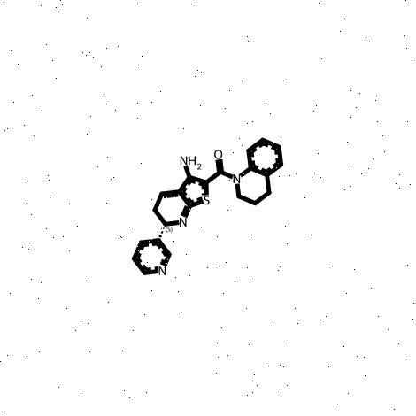 Nc1c(C(=O)N2CCCc3ccccc32)sc2c1=CC[C@@H](c1cccnc1)N=2